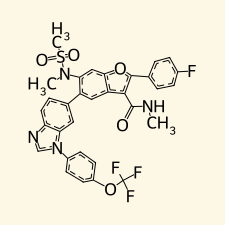 CNC(=O)c1c(-c2ccc(F)cc2)oc2cc(N(C)S(C)(=O)=O)c(-c3ccc4ncn(-c5ccc(OC(F)(F)F)cc5)c4c3)cc12